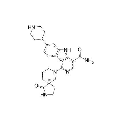 NC(=O)c1cnc(N2CCC[C@@]3(CCNC3=O)C2)c2c1[nH]c1cc(C3CCNCC3)ccc12